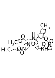 CCCCOC(=O)N1CCN(C(=O)C(CCC(=O)OCC)NC(=O)c2cc(OCC(=O)N3CCCC3C(=O)NC3CCC3)c3ccc(C)cc3c2)CC1